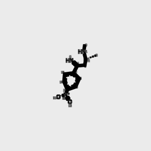 CN[C@H](C)CC(=N)c1ccc([N+](=O)[O-])cc1